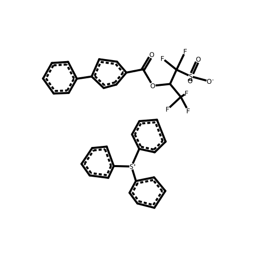 O=C(OC(C(F)(F)F)C(F)(F)S(=O)(=O)[O-])c1ccc(-c2ccccc2)cc1.c1ccc([S+](c2ccccc2)c2ccccc2)cc1